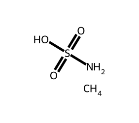 C.NS(=O)(=O)O